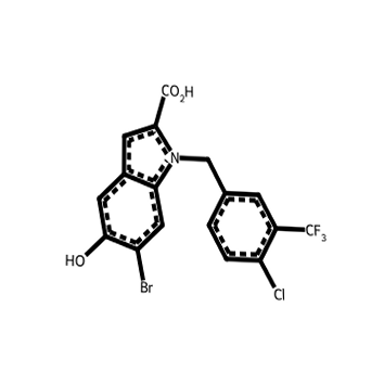 O=C(O)c1cc2cc(O)c(Br)cc2n1Cc1ccc(Cl)c(C(F)(F)F)c1